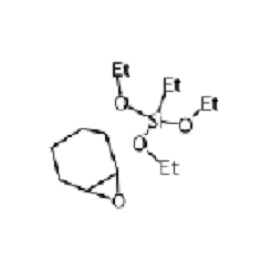 C1CCC2OC2C1.CCO[Si](CC)(OCC)OCC